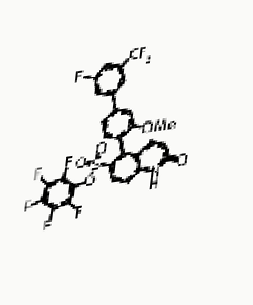 COc1cc(-c2cc(F)cc(C(F)(F)F)c2)ccc1-c1c(S(=O)(=O)Oc2c(F)c(F)c(F)c(F)c2F)ccc2[nH]c(=O)ccc12